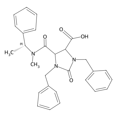 C[C@H](c1ccccc1)N(C)C(=O)C1C(C(=O)O)N(Cc2ccccc2)C(=O)N1Cc1ccccc1